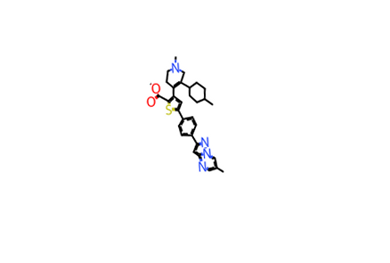 COC(=O)c1sc(-c2ccc(-c3cc4ncc(C)cn4n3)cc2)cc1C1=C(C2CCC(C)CC2)CN(C)CC1